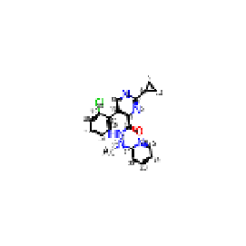 CC(=O)N(NC(=O)c1nc(C2CC2)ncc1-c1ccccc1Cl)c1ccccn1